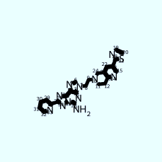 Nc1nc2c(ncn2CCN2CCc3ncc(-c4nccs4)cc3C2)c2nc(-c3ccccn3)nn12